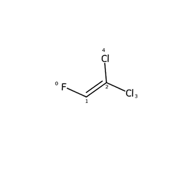 FC=C(Cl)Cl